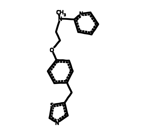 CN(CCOc1ccc(Cc2cncs2)cc1)c1ccccn1